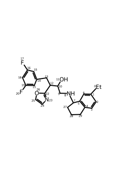 CCc1ccc2c(c1)C(NCC(O)C(Cc1cc(F)cc(F)c1)c1ncco1)CCC2